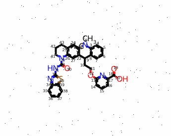 CN(C)c1ccccc1C(CCOc1cccc(C(=O)O)n1)c1ccc2c(c1)N(C(=O)Nc1nc3ccccc3s1)CCC2